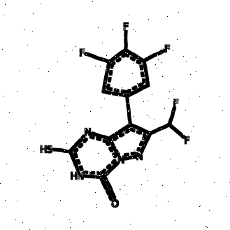 O=c1[nH]c(S)nc2c(-c3cc(F)c(F)c(F)c3)c(C(F)F)nn12